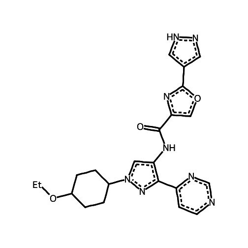 CCOC1CCC(n2cc(NC(=O)c3coc(-c4cn[nH]c4)n3)c(-c3ccncn3)n2)CC1